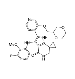 COc1c(F)cccc1Nc1c(-c2ccncc2OCC2COCCO2)[nH]c2c1C(=O)NCC21CC1